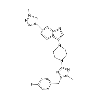 Cc1nc(N2CCN(c3cnn4cc(-c5cnn(C)c5)ccc34)CC2)nn1Cc1ccc(F)cc1